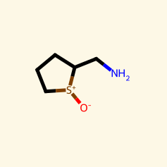 NCC1CCC[S+]1[O-]